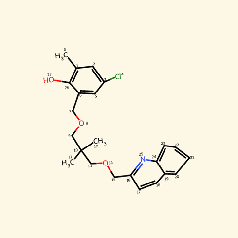 Cc1cc(Cl)cc(COCC(C)(C)COCc2ccc3ccccc3n2)c1O